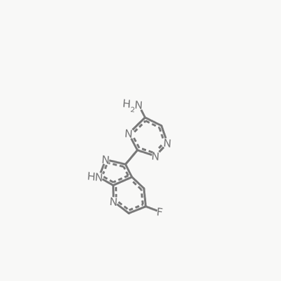 Nc1cnnc(-c2n[nH]c3ncc(F)cc23)n1